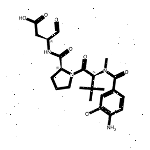 CN(C(=O)c1ccc(N)c(Cl)c1)[C@H](C(=O)N1CCC[C@H]1C(=O)N[C@H](C=O)CC(=O)O)C(C)(C)C